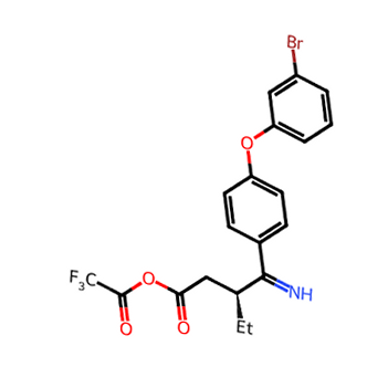 CC[C@@H](CC(=O)OC(=O)C(F)(F)F)C(=N)c1ccc(Oc2cccc(Br)c2)cc1